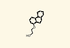 OCCOc1cccc2c1ccc1ccccc12